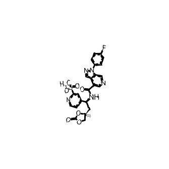 CS(=O)(=O)c1cc(C(C[C@H]2COC(=O)O2)NC(=O)c2cncc3c2cnn3-c2ccc(F)cc2)ccn1